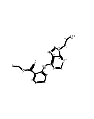 CCOC(=O)c1ccccc1Nc1ncnc2c1ncn2CCO